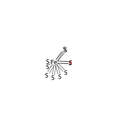 [S]=[Fe](=[S])(=[S])(=[S])(=[S])(=[S])(=[S])(=[S])(=[S])=[S]